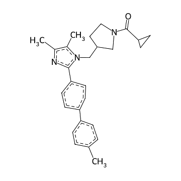 Cc1ccc(-c2ccc(-c3nc(C)c(C)n3CC3CCN(C(=O)C4CC4)C3)cc2)cc1